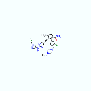 Cc1ccc(C(N)=O)c(-c2ccc(CN3CCN(C)CC3)c(Cl)c2)c1C#Cc1cnc(Nc2cnn(CCF)c2)nc1